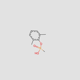 Cc1cccc(C)c1OP(C)(=O)O